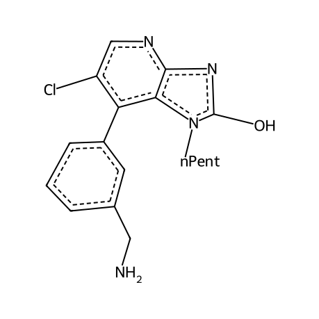 CCCCCn1c(O)nc2ncc(Cl)c(-c3cccc(CN)c3)c21